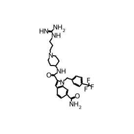 N=C(N)NCCCN1CCC(NC(=O)c2cc3ccc(C(N)=O)cc3n2Cc2ccc(C(F)(F)F)cc2)CC1